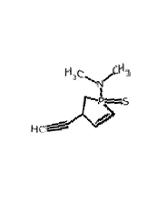 C#CC1C=CP(=S)(N(C)C)C1